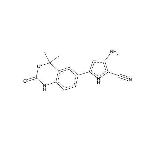 CC1(C)OC(=O)Nc2ccc(-c3cc(N)c(C#N)[nH]3)cc21